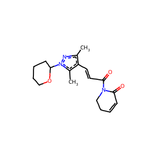 Cc1nn(C2CCCCO2)c(C)c1C=CC(=O)N1CCC=CC1=O